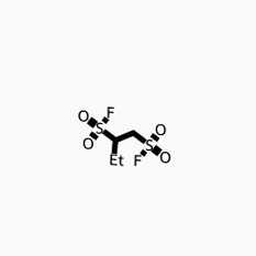 CCC(CS(=O)(=O)F)S(=O)(=O)F